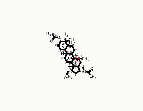 C=C[C@@H]1CC[C@]2(COC(C)=O)CC[C@]3(C)[C@](/N=C/C)(CC[C@@H]4[C@@]5(C)CC[C@H](OC(C)=O)C(C)(C)[C@@H]5CC[C@]43C)[C@@H]12